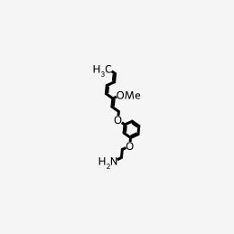 C\C=C/C=C\C(=C\COc1cccc(OCCN)c1)OC